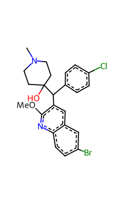 COc1nc2ccc(Br)cc2cc1C(c1ccc(Cl)cc1)C1(O)CCN(C)CC1